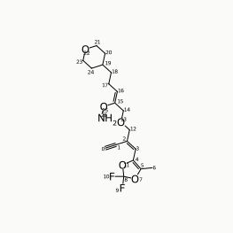 C#C/C(=C\C1=C(C)OC(F)(F)O1)COC/C(=C/CCC1CCOCC1)ON